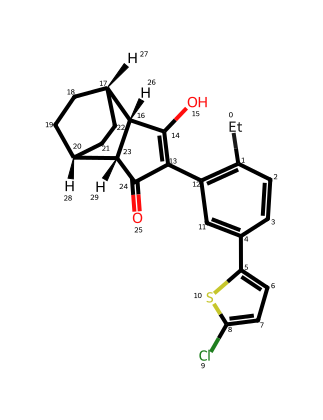 CCc1ccc(-c2ccc(Cl)s2)cc1C1=C(O)[C@H]2[C@H]3CC[C@H](CC3)[C@H]2C1=O